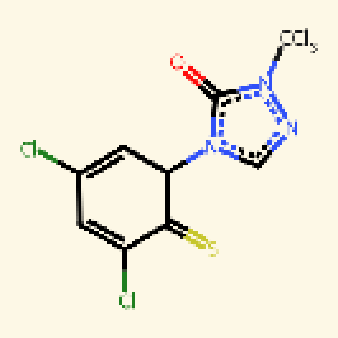 O=c1n(C2C=C(Cl)C=C(Cl)C2=S)cnn1C(Cl)(Cl)Cl